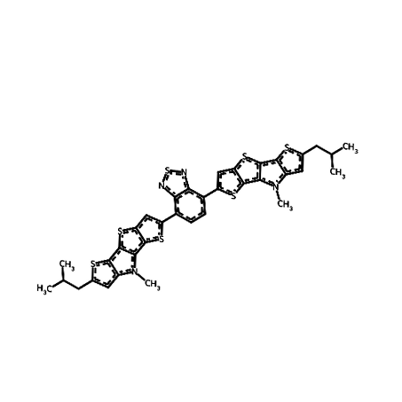 CC(C)Cc1cc2c(s1)c1sc3cc(-c4ccc(-c5cc6sc7c8sc(CC(C)C)cc8n(C)c7c6s5)c5nsnc45)sc3c1n2C